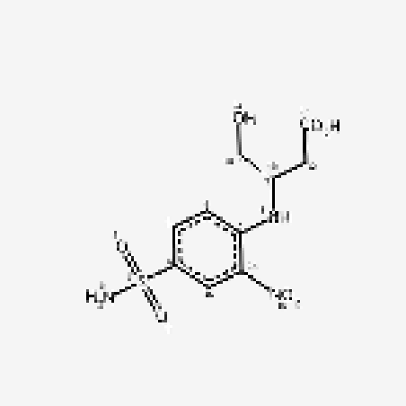 NS(=O)(=O)c1ccc(N[C@H](CO)CC(=O)O)c([N+](=O)[O-])c1